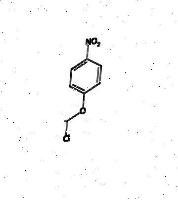 O=[N+]([O-])c1ccc(O[CH]Cl)cc1